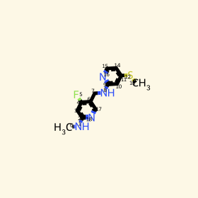 CNc1cc(F)c(CNc2cc(SC)ccn2)cn1